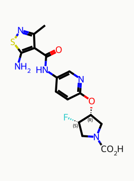 Cc1nsc(N)c1C(=O)Nc1ccc(O[C@@H]2CN(C(=O)O)C[C@@H]2F)nc1